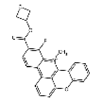 C[n+]1c2c3c(cccc3c3ccc(C(=O)OC4COC4)c(F)c31)Oc1ccccc1-2